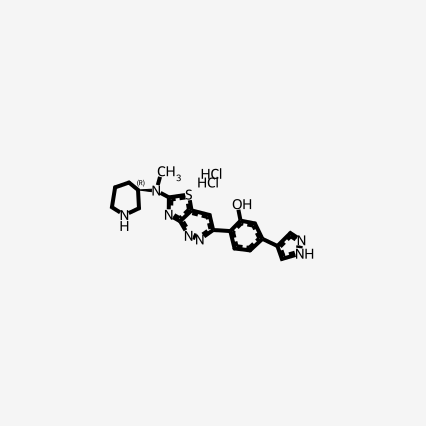 CN(c1nc2nnc(-c3ccc(-c4cn[nH]c4)cc3O)cc2s1)[C@@H]1CCCNC1.Cl.Cl